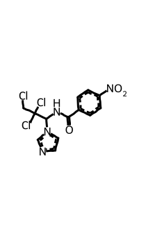 O=C(NC(n1ccnc1)C(Cl)(Cl)CCl)c1ccc([N+](=O)[O-])cc1